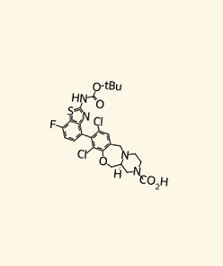 CC(C)(C)OC(=O)Nc1nc2c(-c3c(Cl)cc4c(c3Cl)OC[C@@H]3CN(C(=O)O)CCN3C4)ccc(F)c2s1